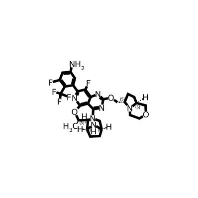 C[C@@H]1Oc2nc(-c3cc(N)cc(F)c3C(F)(F)F)c(F)c3nc(OC[C@@H]4CC[C@H]5COCCN54)nc(c23)N2C[C@H]3CC[C@H](N3)[C@@H]12